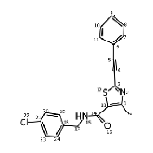 Cc1nc(C#Cc2cc[c]cc2)sc1C(=O)NCc1ccc(Cl)cc1